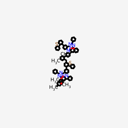 Cc1cc(C)c(-c2ccc3c(c2)c2ccccc2n3-c2ccc(-c3ccc(Cc4cc(C)cc(C)c4-c4ccc5c6ccccc6n(-c6ccc(-c7cccc8sc9ccccc9c78)cc6-c6nc(-c7ccccc7)nc(-c7ccccc7)n6)c5c4)c4sc5ccccc5c34)cc2-c2nc(-c3ccccc3)nc(-c3ccccc3)n2)c(C)c1